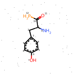 NC(Cc1ccc(O)cc1)C(=O)P